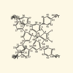 CC1=C(C)C(C)C([Si](c2cc(-c3ccc(C(C)C)cc3)cc(-c3ccc(C(C)C)cc3)c2)(c2cc(-c3ccc(C(C)C)cc3)cc(-c3ccc(C(C)C)cc3)c2)c2cc(-c3ccc(C(C)C)cc3)cc(-c3ccc(C(C)C)cc3)c2)=C1C